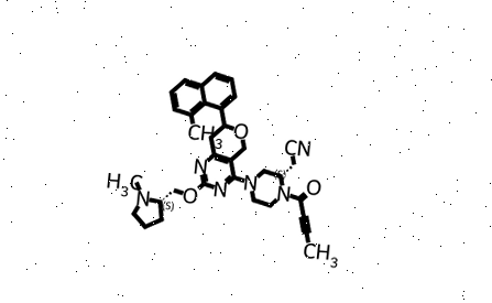 CC#CC(=O)N1CCN(c2nc(OC[C@@H]3CCCN3C)nc3c2COC(c2cccc4cccc(C)c24)C3)C[C@@H]1CC#N